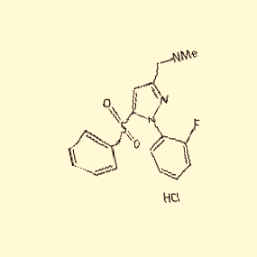 CNCc1cc(S(=O)(=O)c2ccccc2)n(-c2ccccc2F)n1.Cl